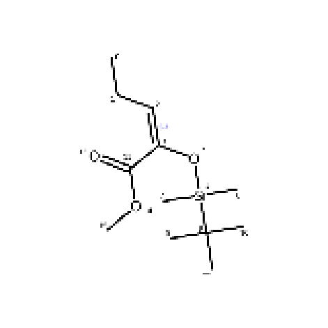 CC/C=C(/O[Si](C)(C)C(C)(C)C)C(=O)OC